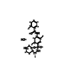 Cc1cc(S(=O)(=O)N[C@H](C)C2CCNCC2)c(C)cc1NC(=O)c1ccccc1C.Cl